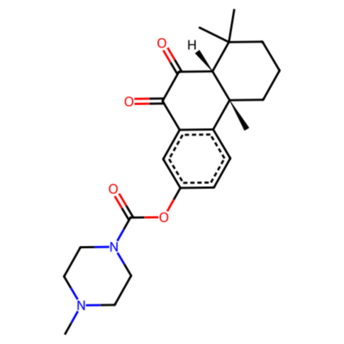 CN1CCN(C(=O)Oc2ccc3c(c2)C(=O)C(=O)[C@@H]2C(C)(C)CCC[C@]32C)CC1